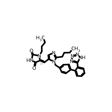 CCCCc1ncc(/C=C2/C(=O)NC(=O)N2CCCC)n1Cc1ccc(-c2ccccc2-c2nnn[nH]2)cc1